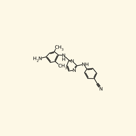 Cc1cc(N)cc(C)c1Nc1ccnc(Nc2ccc(C#N)cc2)n1